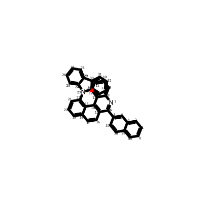 c1ccc2cc(-c3nc4ccccc4c4c3ccc3cccc(-n5c6ccccc6c6ccccc65)c34)ccc2c1